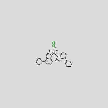 CC.C[SiH2][Zr+2]([CH]1C(C)=Cc2c(-c3ccccc3)cccc21)[CH]1C(C)=Cc2c(-c3ccccc3)cccc21.[Cl-].[Cl-]